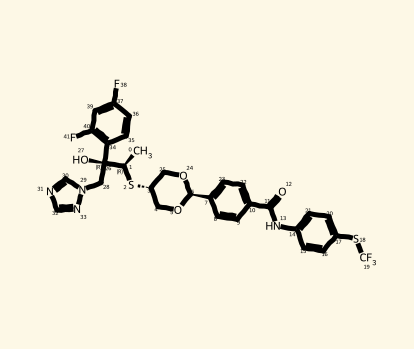 C[C@@H](S[C@H]1CO[C@H](c2ccc(C(=O)Nc3ccc(SC(F)(F)F)cc3)cc2)OC1)[C@](O)(Cn1cncn1)c1ccc(F)cc1F